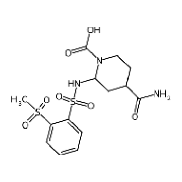 CS(=O)(=O)c1ccccc1S(=O)(=O)NC1CC(C(N)=O)CCN1C(=O)O